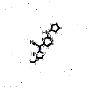 CCC1=CS/C(=C(/C#N)c2ccnc(NC3CCCC3)n2)N1